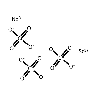 [Nd+3].[O]=[Cr](=[O])([O-])[O-].[O]=[Cr](=[O])([O-])[O-].[O]=[Cr](=[O])([O-])[O-].[Sc+3]